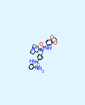 CN1CCCC1CCN(Cc1ccc(C(=O)Nc2ccccc2N)cc1)C(=O)Nc1ccc2c(c1)OCCO2